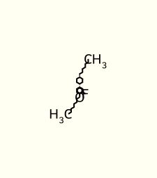 CCCCCCCOc1ccc([C@H]2CC[C@H](CCCCCCC)CC2)cc1F